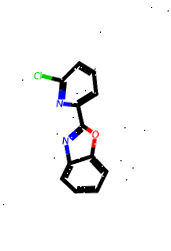 Clc1cccc(-c2nc3ccccc3o2)n1